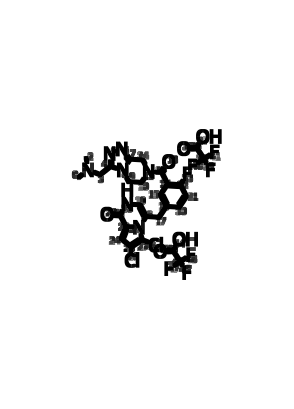 CN(C)Cc1nnc2n1CCN(C(=O)c1cc(Cc3c[nH]c(=O)c4cc(Cl)c(Cl)n34)ccc1F)C2.O=C(O)C(F)(F)F.O=C(O)C(F)(F)F